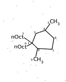 CCCCCCCCC1(CCCCCCCC)CC(C)CCC1C